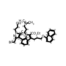 CCOC(=O)c1c(CCCOc2cccc3ccccc23)c2cccc(-c3c(CBr)nn(CCO)c3C)c2n1CCCN(C)C